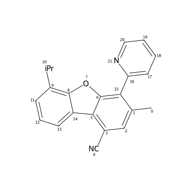 Cc1cc(C#N)c2c(oc3c(C(C)C)cccc32)c1-c1ccccn1